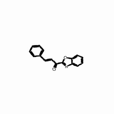 O=C(C=Cc1ccccc1)c1nc2ccccc2o1